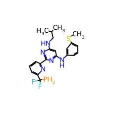 CSc1cccc(Nc2cc(NCC(C)C)nc(-c3cccc(C(F)(F)P)n3)n2)c1